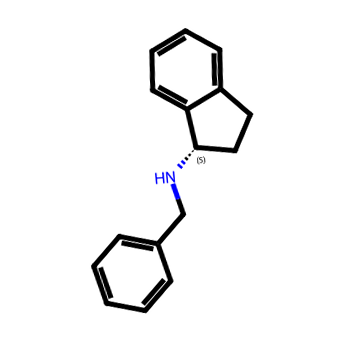 c1ccc(CN[C@H]2CCc3ccccc32)cc1